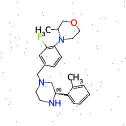 Cc1ccccc1[C@@H]1CN(Cc2ccc(N3CCOCC3C)c(F)c2)CCN1